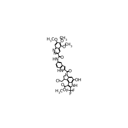 COC(=O)c1c(C(F)(F)F)[nH]c2c(O)cc3c(c12)C(CCl)CN3C(=O)c1cc2cc(NC(=O)c3cc4c(OC)c(OC)c(OC)cc4nn3)ccc2[nH]1